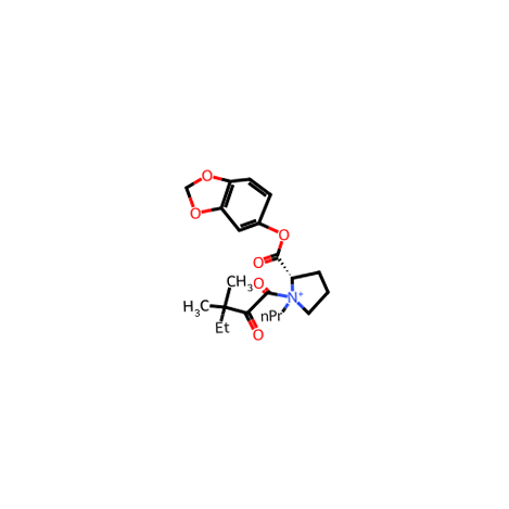 CCC[N+]1(C(=O)C(=O)C(C)(C)CC)CCC[C@H]1C(=O)Oc1ccc2c(c1)OCO2